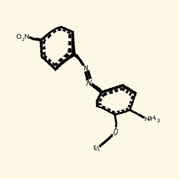 CCOc1cc(N=Nc2ccc([N+](=O)[O-])cc2)ccc1N